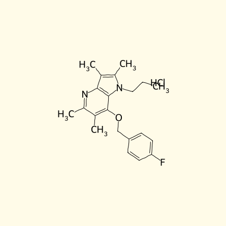 CCCn1c(C)c(C)c2nc(C)c(C)c(OCc3ccc(F)cc3)c21.Cl